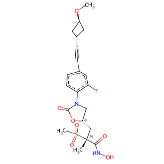 CO[C@H]1C[C@H](C#Cc2ccc(N3C[C@H](C[C@](C)(C(=O)NO)S(C)(=O)=O)OC3=O)c(F)c2)C1